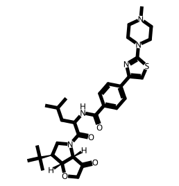 CC(C)CC(NC(=O)c1ccc(-c2csc(N3CCN(C)CC3)n2)cc1)C(=O)N1C[C@H](C(C)(C)C)[C@H]2OCC(=O)[C@H]21